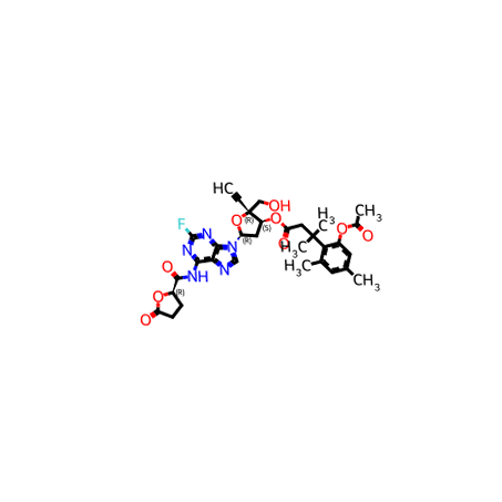 C#C[C@]1(CO)O[C@@H](n2cnc3c(NC(=O)[C@H]4CCC(=O)O4)nc(F)nc32)C[C@@H]1OC(=O)CC(C)(C)c1c(C)cc(C)cc1OC(C)=O